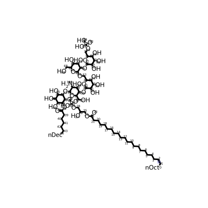 CCCCCCCC/C=C\CCCCCCCCCCCCCCCCCCCC(=O)OC[C@@H](O)COP(=O)(O)O[C@@H]1C(OC(=O)CCCCCCCCCCCCCCC)[C@H](O)C(O)C(O)[C@H]1O[C@H]1OC(CO)[C@@H](O[C@H]2OC(CO[C@H]3OC(CO)[C@@H](O)[C@H](O)C3O[C@H]3OC(COP(=O)(O)O)[C@H](O)[C@H](O)C3O)[C@@H](O)[C@H](O)C2O)[C@H](O)C1N